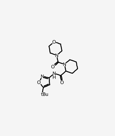 CC(C)(C)c1cc(NC(=O)C2CCCCN2C(=O)N2CCOCC2)no1